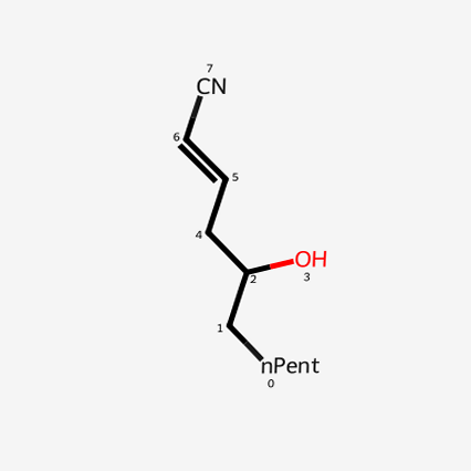 CCCCCCC(O)CC=CC#N